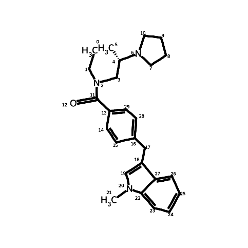 CCN(C[C@H](C)N1CCCC1)C(=O)c1ccc(Cc2cn(C)c3ccccc23)cc1